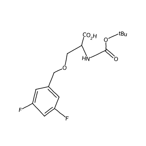 CC(C)(C)OC(=O)NC(COCc1cc(F)cc(F)c1)C(=O)O